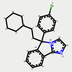 Brc1ccc(C2(CCC3CCCCC3)c3ccccc3-c3nccn32)cc1